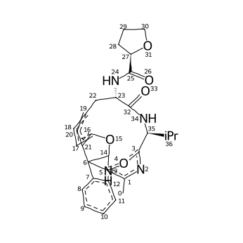 Cc1nc2oc1C13c4ccccc4NC1Oc1ccc(cc13)C[C@H](NC(=O)[C@H]1CCCO1)C(=O)N[C@H]2C(C)C